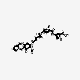 COC(=O)c1cc(NC(=O)c2cc(NC(=O)CCCOC3=CC4=C(CN5CCCC5C=N4)C(=O)C3OC)cn2C)cn1C